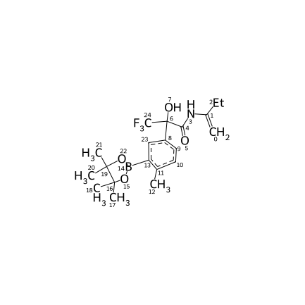 C=C(CC)NC(=O)C(O)(c1ccc(C)c(B2OC(C)(C)C(C)(C)O2)c1)C(F)(F)F